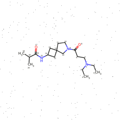 CCN(CC)CCC(=O)N1CCC2(CC(NC(=O)C(C)C)C2)C1